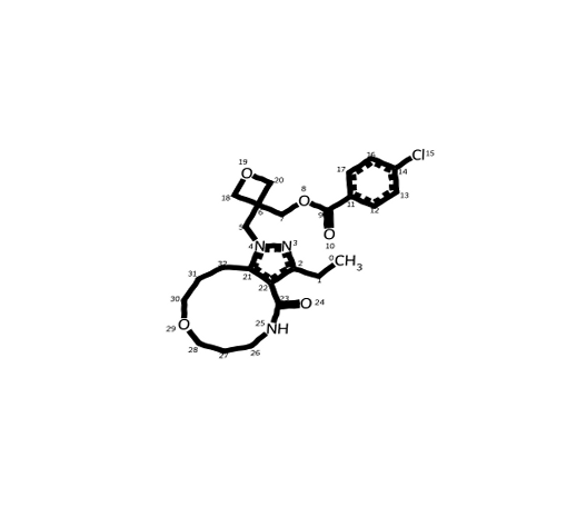 CCc1nn(CC2(COC(=O)c3ccc(Cl)cc3)COC2)c2c1C(=O)NCCCOCCC2